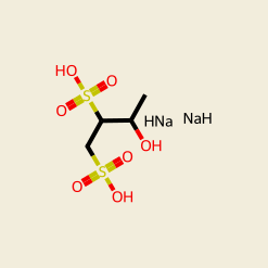 CC(O)C(CS(=O)(=O)O)S(=O)(=O)O.[NaH].[NaH]